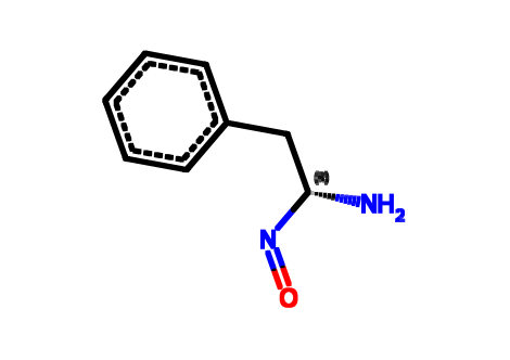 N[C@@H](Cc1ccccc1)N=O